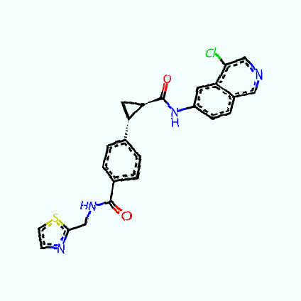 O=C(NCc1nccs1)c1ccc([C@@H]2C[C@H]2C(=O)Nc2ccc3cncc(Cl)c3c2)cc1